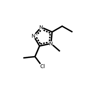 CCc1nnc(C(C)Cl)n1C